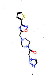 O=C(Cn1ccnn1)N1CCN(Cc2nc(-c3cccs3)no2)CC1